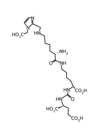 N[C@@H](CCCCNCc1nccn1CC(=O)O)C(=O)NCCCC[C@H](NC(=O)N[C@@H](CCC(=O)O)C(=O)O)C(=O)O